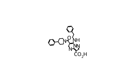 O=C(O)c1cnn2c(NCCc3ccccc3)c(C(=O)N3CCC(c4ccccc4)CC3)cnc12